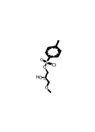 COC[C@@H](O)COS(=O)(=O)c1ccc(C)cc1